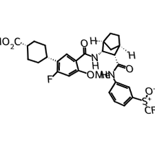 COc1cc(F)c([C@H]2CC[C@@H](C(=O)O)CC2)cc1C(=O)N[C@@H]1[C@H]2CC[C@H](C2)[C@@H]1C(=O)Nc1cccc([S+]([O-])C(F)(F)F)c1